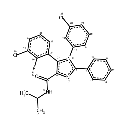 CC(C)NC(=O)c1nc(-c2ccccc2)n(-c2cccc(Cl)c2)c1-c1cccc(Cl)c1F